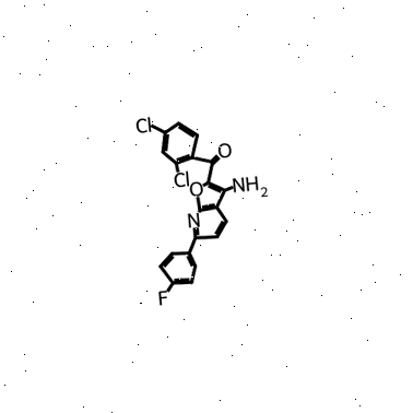 Nc1c(C(=O)c2ccc(Cl)cc2Cl)oc2nc(-c3ccc(F)cc3)ccc12